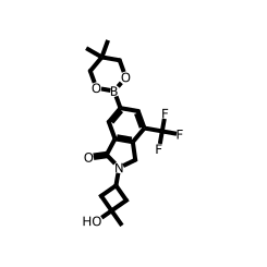 CC1(C)COB(c2cc3c(c(C(F)(F)F)c2)CN(C2CC(C)(O)C2)C3=O)OC1